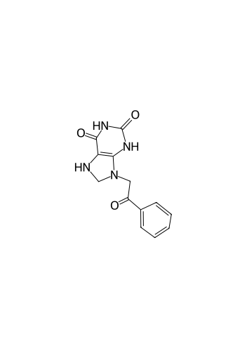 O=C(CN1CNc2c1[nH]c(=O)[nH]c2=O)c1ccccc1